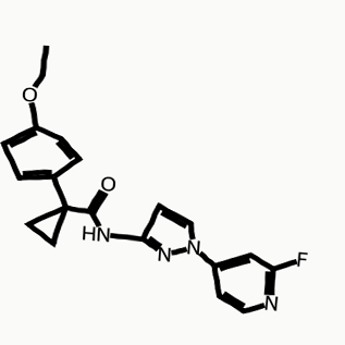 CCOc1ccc(C2(C(=O)Nc3ccn(-c4ccnc(F)c4)n3)CC2)cc1